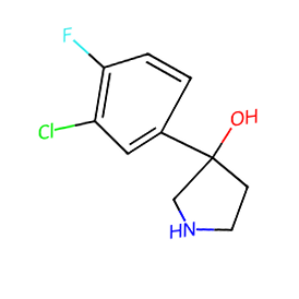 OC1(c2ccc(F)c(Cl)c2)CCNC1